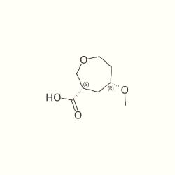 CO[C@H]1CCOC[C@@H](C(=O)O)C1